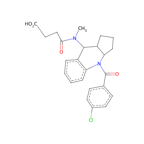 CN(C(=O)CCC(=O)O)C1c2ccccc2N(C(=O)c2ccc(Cl)cc2)C2CCCC12